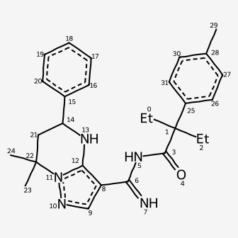 CCC(CC)(C(=O)NC(=N)c1cnn2c1NC(c1ccccc1)CC2(C)C)c1ccc(C)cc1